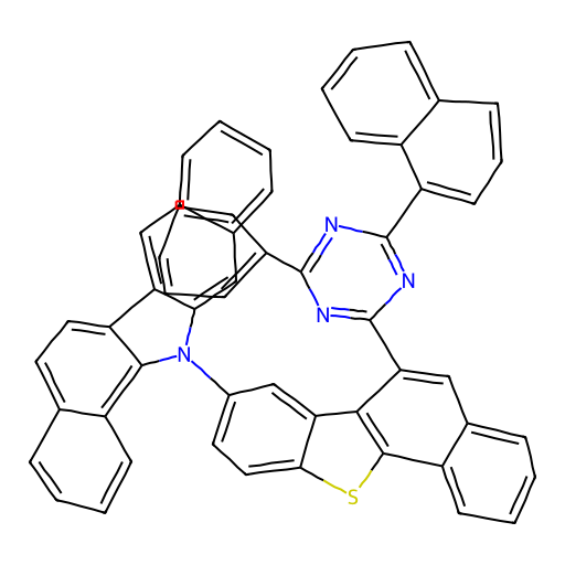 c1ccc(-c2nc(-c3cccc4ccccc34)nc(-c3cc4ccccc4c4sc5ccc(-n6c7cc8ccccc8cc7c7ccc8ccccc8c76)cc5c34)n2)cc1